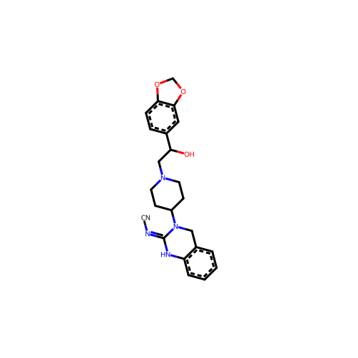 N#CN=C1Nc2ccccc2CN1C1CCN(CC(O)c2ccc3c(c2)OCO3)CC1